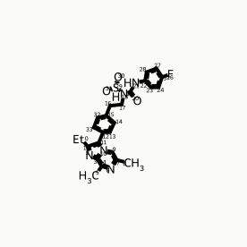 CCc1nc2c(C)nc(C)cn2c1-c1ccc(CCN(C(=O)Nc2ccc(F)cc2)[SH](=O)=O)cc1